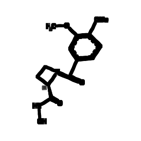 COc1ccc(C(=O)N2CC[C@@H]2C(=O)NO)cc1OC(F)(F)F